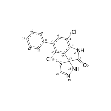 O=C1Nc2c(Cl)cc(-c3ccccc3)c(Cl)c2C12NN=CS2